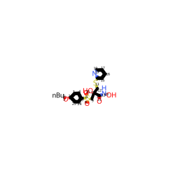 CCCCOc1ccc(S(=O)(=O)CC(O)(CSc2ccccn2)C(=O)NO)cc1